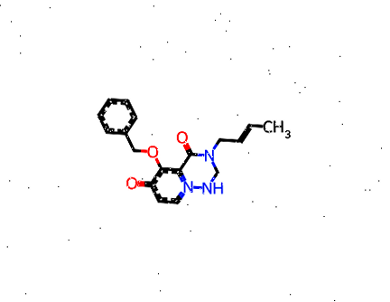 C/C=C/CN1CNn2ccc(=O)c(OCc3ccccc3)c2C1=O